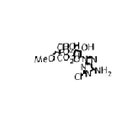 COCC(OC[C@H]1O[C@@H](n2cnc3c(N)nc(Cl)nc32)[C@H](O)[C@H]1O)(C(=O)O)C(=O)O